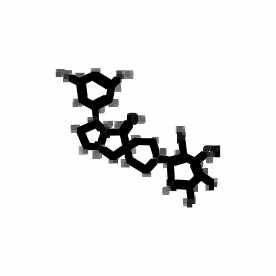 N#Cc1c(F)c(F)nc(N2CCC3(CC2)CN2CC[C@@H](c4cc(F)cc(F)c4)N2C3=O)c1F